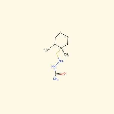 CC1CCCCC1(C)SNNC(N)=O